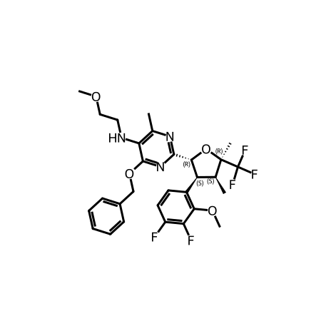 COCCNc1c(C)nc([C@@H]2O[C@@](C)(C(F)(F)F)[C@@H](C)[C@H]2c2ccc(F)c(F)c2OC)nc1OCc1ccccc1